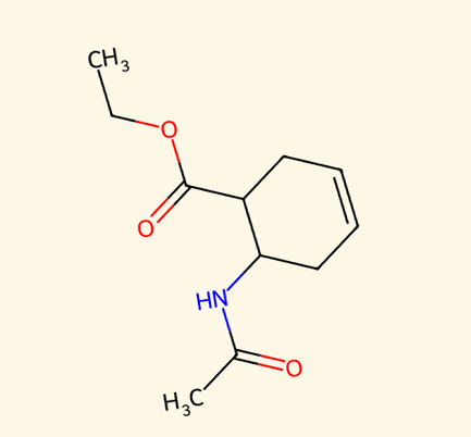 CCOC(=O)C1CC=CCC1NC(C)=O